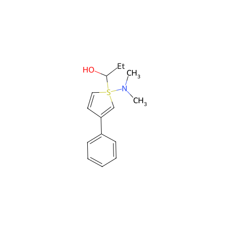 CCC(O)S1(N(C)C)C=CC(c2ccccc2)=C1